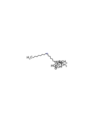 CCCCCCCC/C=C\CCCCCCCC(O)(C[N+](C)(C)C)P(=O)(O)O